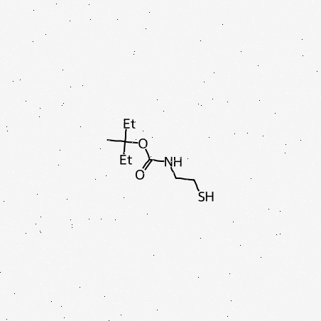 CCC(C)(CC)OC(=O)NCCS